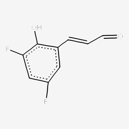 O=C/C=C/c1cc(F)cc(F)c1O